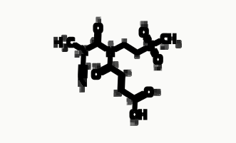 CN(C#N)C(=O)N(CCS(C)(=O)=O)C(=O)C=CC(=O)O